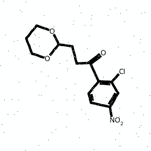 O=C(CCC1OCCCO1)c1ccc([N+](=O)[O-])cc1Cl